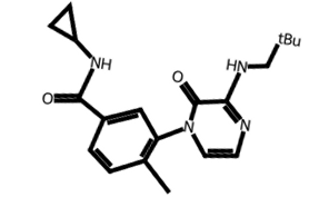 Cc1ccc(C(=O)NC2CC2)cc1-n1ccnc(NCC(C)(C)C)c1=O